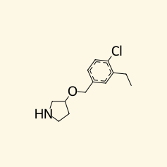 CCc1cc(COC2CCNC2)ccc1Cl